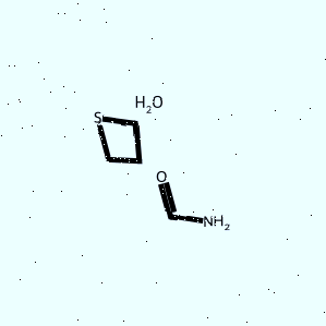 C1CSC1.NC=O.O